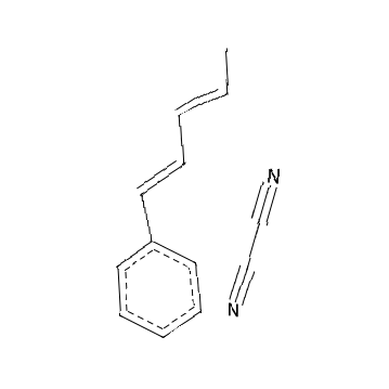 CC=CC=Cc1ccccc1.N#CC#N